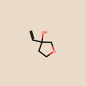 C=CC1(O)CCOC1